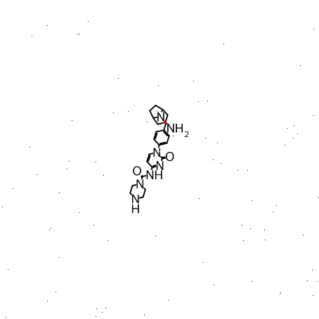 NC1CC2CCC(C1)N2Cc1ccc(-n2ccc(NC(=O)N3CCNCC3)nc2=O)cc1